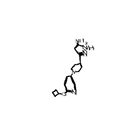 Nc1cc(C2CCN(c3ccc(OC4CCC4)nc3)CC2)n[nH]1